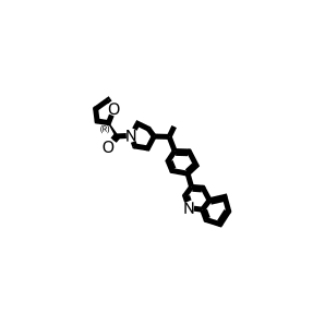 CC(c1ccc(-c2cnc3ccccc3c2)cc1)C1CCN(C(=O)[C@H]2CCCO2)CC1